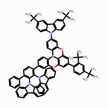 CC(C)(C)c1ccc(-c2cc3c4c(c2)Oc2cc(-n5c6ccc(C(C)(C)C)cc6c6cc(C(C)(C)C)ccc65)ccc2B4c2ccc(-c4ccc(-c5ccccc5)c(-n5c6ccccc6c6ccccc65)c4-n4c5ccccc5c5ccccc54)cc2O3)c(C(C)(C)C)c1